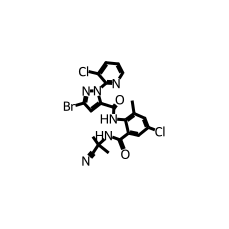 Cc1cc(Cl)cc(C(=O)NC(C)(C)C#N)c1NC(=O)c1cc(Br)nn1-c1ncccc1Cl